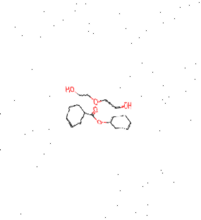 O=C(OC1CCCCC1)C1CCCCC1.OCCOCCO